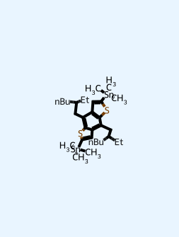 CCCCC(CC)Cc1c2c[c]([Sn]([CH3])([CH3])[CH3])sc2c(CC(CC)CCCC)c2c[c]([Sn]([CH3])([CH3])[CH3])sc12